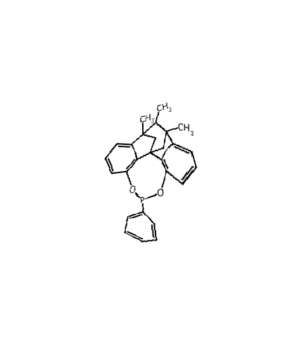 CC1C2(C)CC34CC1(C)c1cccc(c13)OP(c1ccccc1)Oc1cccc2c14